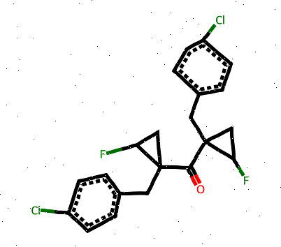 O=C(C1(Cc2ccc(Cl)cc2)CC1F)C1(Cc2ccc(Cl)cc2)CC1F